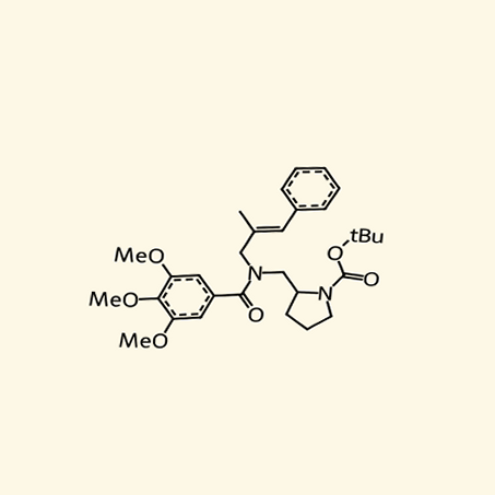 COc1cc(C(=O)N(CC(C)=Cc2ccccc2)CC2CCCN2C(=O)OC(C)(C)C)cc(OC)c1OC